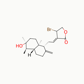 C=C1CC[C@@H]2[C@@H](C)[C@@](C)(O)CC[C@@]2(C)[C@@H]1C/C=C1/C(=O)OCC1Br